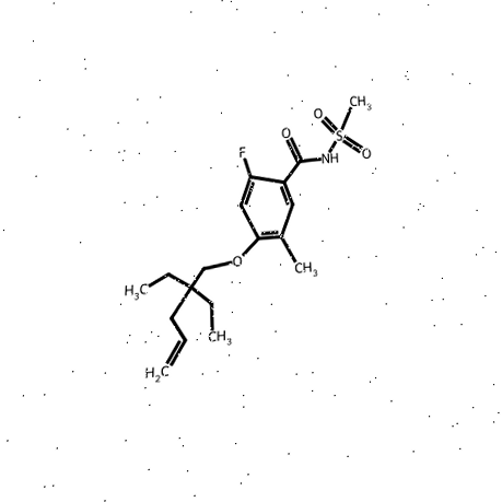 C=CCC(CC)(CC)COc1cc(F)c(C(=O)NS(C)(=O)=O)cc1C